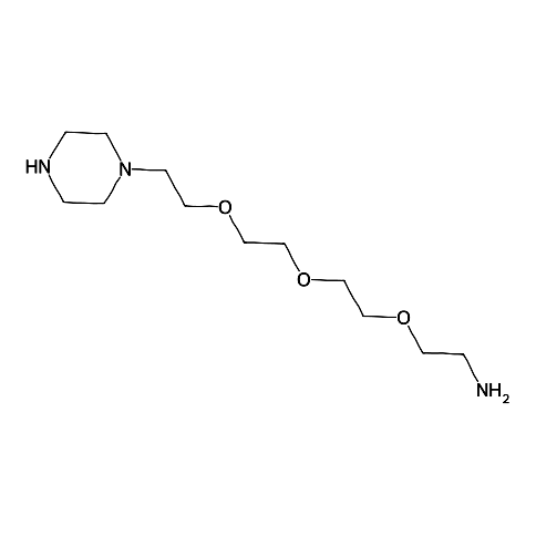 NCCOCCOCCOCCN1CCNCC1